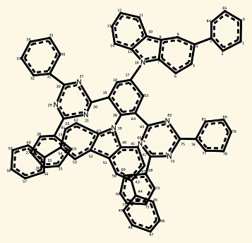 c1ccc(-c2ccc3c(c2)c2ccccc2n3-c2cc(-c3nc(-c4ccccc4)nc(-c4ccccc4)n3)c(-n3c4ccc(-c5ccccc5)cc4c4cc(-c5ccccc5)ccc43)c(-c3nc(-c4ccccc4)nc(-c4ccccc4)n3)c2)cc1